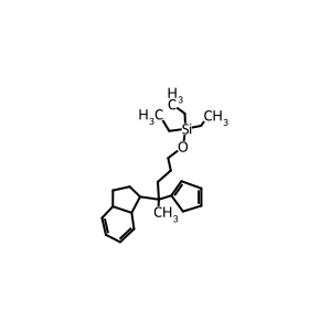 CC[Si](CC)(CC)OCCCC(C)(C1=CC=CC1)C1CCC2C=CC=CC21